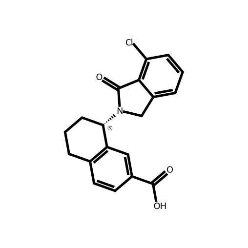 O=C(O)c1ccc2c(c1)[C@@H](N1Cc3cccc(Cl)c3C1=O)CCC2